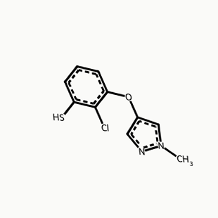 Cn1cc(Oc2cccc(S)c2Cl)cn1